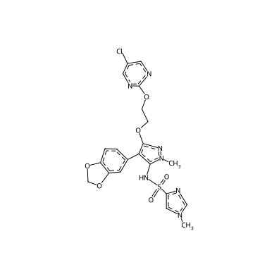 Cn1cnc(S(=O)(=O)Nc2c(-c3ccc4c(c3)OCO4)c(OCCOc3ncc(Cl)cn3)nn2C)c1